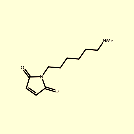 CNCCCCCCN1C(=O)C=CC1=O